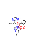 C=CCC(COC(=O)c1ccccc1C(=O)OCC(CC=C)c1ncc[nH]1)c1ncc[nH]1